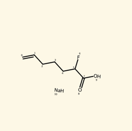 C=CCCCC(F)C(=O)O.[NaH]